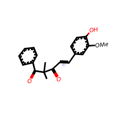 COc1cc(/C=C/C(=O)C(C)(C)C(=O)c2ccccc2)ccc1O